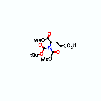 COC(=O)[C@H](CCC(=O)O)N(C(=O)OC)C(=O)OC(C)(C)C